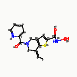 C/C=C1/CN(C(=O)c2ccccn2)Cc2cc(C(=O)NO)sc21